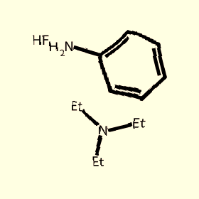 CCN(CC)CC.F.Nc1ccccc1